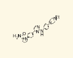 CCN1CCN(c2ccc(Nc3nccc(-c4ccc(N5CCC[C@@H]5C(N)=O)cc4)n3)cc2)CC1